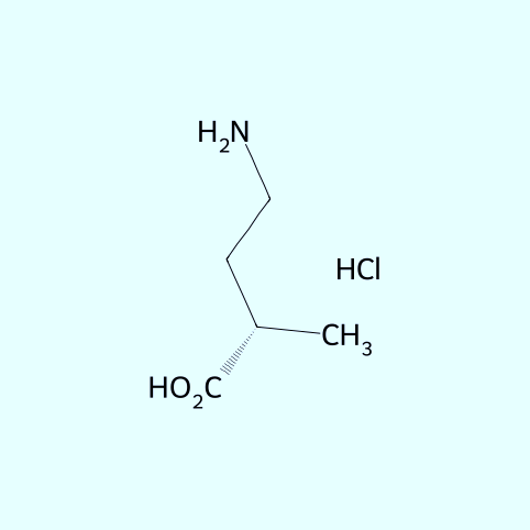 C[C@@H](CCN)C(=O)O.Cl